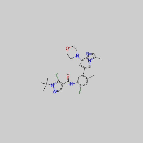 Cc1cc(F)c(NC(=O)c2cnn(C(C)(C)C)c2F)cc1-c1cc(N2CCOCC2)c2ncc(C)n2c1